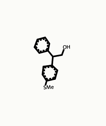 CSc1ccc(C(CO)c2ccccc2)cc1